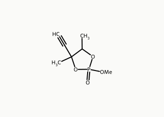 C#CC1(C)OP(=O)(OC)OC1C